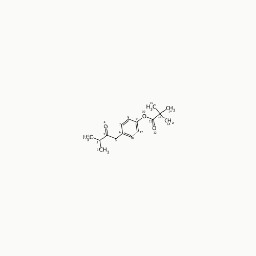 CC(C)C(=O)Cc1ccc(OC(=O)C(C)(C)C)cc1